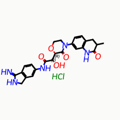 CC1Cc2ccc(N3CCO[C@H]([C@@H](O)C(=O)Nc4ccc5c(c4)CNC5=N)C3=O)cc2NC1=O.Cl